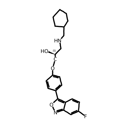 O[C@@H](CNCC1CCCCC1)COc1ccc(-c2onc3cc(F)ccc23)cc1